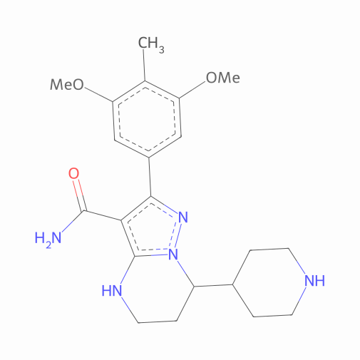 COc1cc(-c2nn3c(c2C(N)=O)NCCC3C2CCNCC2)cc(OC)c1C